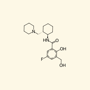 O=C(N[C@@H]1CCCC[C@H]1CN1CCCCC1)c1cc(F)cc(CO)c1O